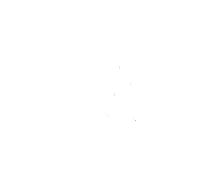 C1CC(N2CCNCC2)C1.O=C(O)C(F)(F)F